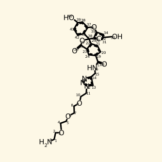 NCCOCCOCCOCCn1cc(CNC(=O)c2ccc3c(c2)C(=O)OC32c3ccc(O)cc3Oc3cc(O)ccc32)nn1